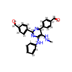 CNCc1c(Nc2ccccc2)nc(-c2ccc(C=O)cc2)nc1-c1ccc(C=O)cc1